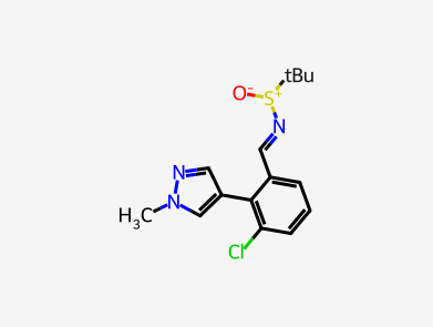 Cn1cc(-c2c(Cl)cccc2/C=N/[S+]([O-])C(C)(C)C)cn1